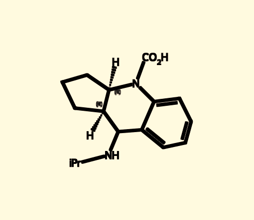 CC(C)NC1c2ccccc2N(C(=O)O)[C@@H]2CCC[C@H]12